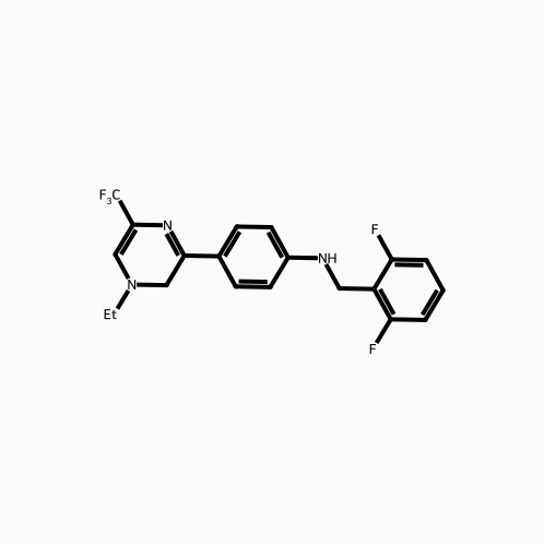 CCN1C=C(C(F)(F)F)N=C(c2ccc(NCc3c(F)cccc3F)cc2)C1